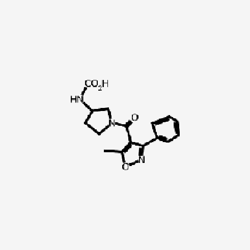 Cc1onc(-c2ccccc2)c1C(=O)N1CCC(NC(=O)O)C1